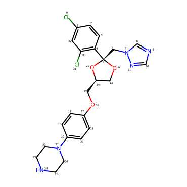 Clc1ccc([C@]2(Cn3cncn3)OC[C@@H](COc3ccc(N4CCNCC4)cc3)O2)c(Cl)c1